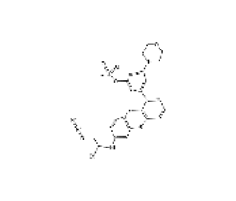 CCC(CN=[N+]=[N-])Nc1ccc2c(c1)Sc1cccc(-c3cc(N4CCOCC4)cc(OS(C)(=O)=O)n3)c1S2